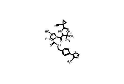 Cc1ncsc1-c1ccc(CNC(=O)[C@@H]2[C@H](F)[C@@H](O)CN2C(=O)C(NC(=O)C2(C#N)CC2)C(C)(C)C)cc1